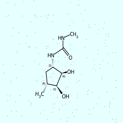 CNC(=O)N[C@H]1C[C@@H](C)[C@H](O)[C@@H]1O